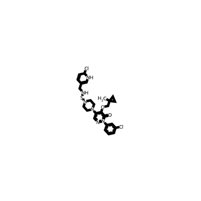 CC1(COc2c(N3CCN(SNCC4=CNC(Cl)C=C4)CC3)cnn(-c3cccc(Cl)c3)c2=O)CC1